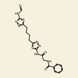 O=CNc1nnc(CCCCc2nnc(NC(=O)CNC(=O)c3ccccc3)s2)s1